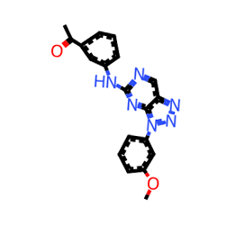 COc1cccc(-n2nnc3cnc(Nc4cccc(C(C)=O)c4)nc32)c1